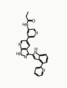 CCC(=O)Nc1cncc(-c2cnc3[nH]nc(-c4cc5c(-c6ccccn6)cccc5[nH]4)c3c2)c1